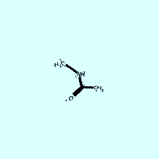 [CH2]NC(C)=O